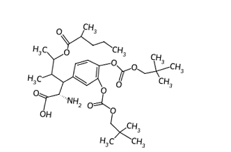 CCCC(C)C(=O)OC(C)C(C)C(c1ccc(OC(=O)OCC(C)(C)C)c(OC(=O)OCC(C)(C)C)c1)[C@H](N)C(=O)O